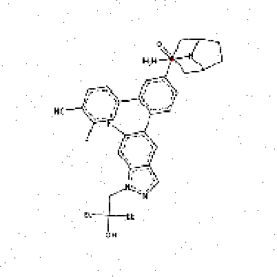 CCC(O)(CC)Cn1ncc2cc(-c3ccc(C(=O)N4C5CCC4CC(N)C5)cc3-c3ccc(C#N)c(F)c3)c(F)cc21